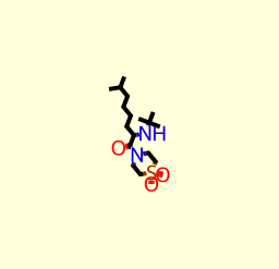 CC(C)CCCCC(NC(C)(C)C)C(=O)N1CCS(=O)(=O)CC1